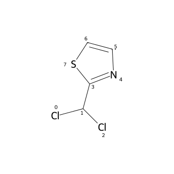 ClC(Cl)c1n[c]cs1